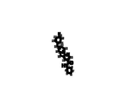 O=C(Nc1ccccc1)c1cnc2c(c1)CC1CN(Cc3ccc(F)cc3)CCN21